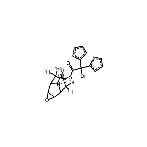 [2H]C1([2H])C2C3OC3C(C([2H])([2H])C1([2H])OC(=O)C(O)(c1cccs1)c1cccs1)[N+]2(C)C